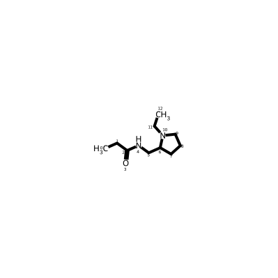 CCC(=O)NCC1CCCN1CC